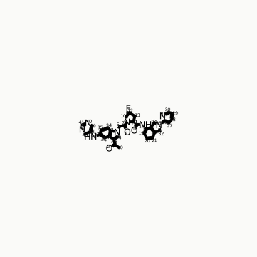 CC(=O)c1cn(CC(=O)N2C[C@H](F)C[C@H]2C(=O)Nc2cccc3c2CN(c2ccccn2)C3)c2ccc(Nc3cncnc3)cc12